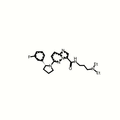 CCN(CC)CCCNC(=O)c1cnc2ccc(N3CCC[C@@H]3c3cccc(F)c3)nn12